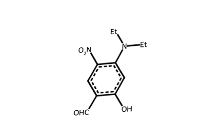 CCN(CC)c1cc(O)c(C=O)cc1[N+](=O)[O-]